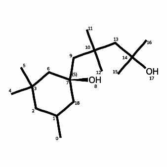 CC1CC(C)(C)C[C@](O)(CC(C)(C)CC(C)(C)O)C1